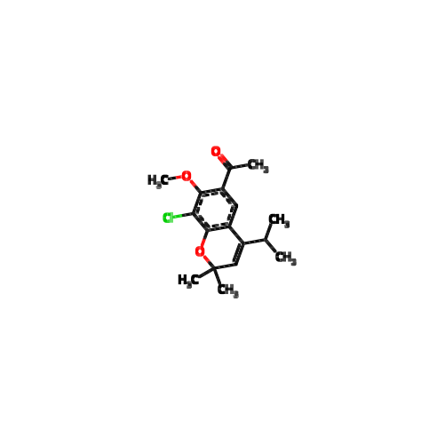 COc1c(C(C)=O)cc2c(c1Cl)OC(C)(C)C=C2C(C)C